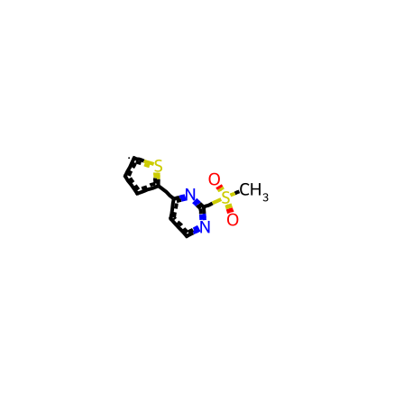 CS(=O)(=O)c1nccc(-c2cc[c]s2)n1